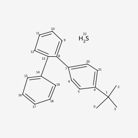 CC(C)(C)c1ccc(-c2ccccc2-c2ccccc2)cc1.S